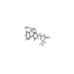 CCCC1(CCC)c2ccccc2-c2ccc(C/C(CC3CCCC3)=N/OC(C)=O)cc21